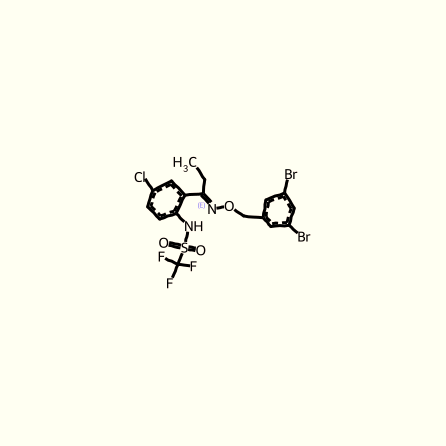 CC/C(=N\OCc1cc(Br)cc(Br)c1)c1cc(Cl)ccc1NS(=O)(=O)C(F)(F)F